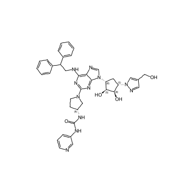 O=C(Nc1cccnc1)N[C@@H]1CCN(c2nc(NCC(c3ccccc3)c3ccccc3)c3ncn([C@@H]4C[C@H](n5cc(CO)cn5)[C@@H](O)[C@H]4O)c3n2)C1